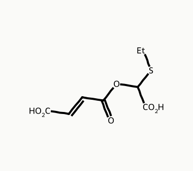 CCSC(OC(=O)C=CC(=O)O)C(=O)O